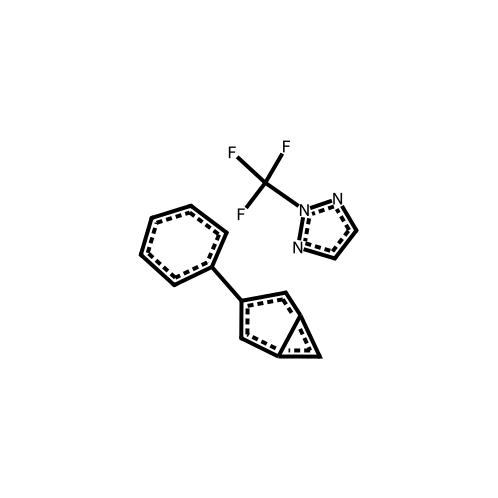 FC(F)(F)n1nccn1.c1ccc(-c2cc3cc-3c2)cc1